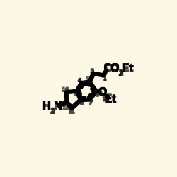 CCOC(=O)CCc1cc2c(cc1OCC)CC(N)C2